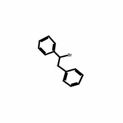 BrC([CH]c1ccccc1)c1ccccc1